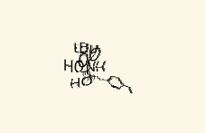 C=Cc1ccc(CC[C@H](O)[C@@H](CO)NC(=O)OC(C)(C)C)cc1